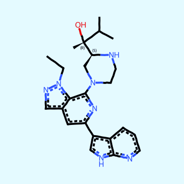 CCn1ncc2cc(-c3c[nH]c4ncccc34)nc(N3CCN[C@H]([C@](C)(O)C(C)C)C3)c21